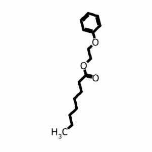 CCCCCCCC(=O)OCCOc1ccccc1